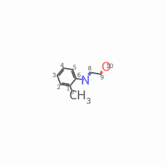 Cc1ccccc1N=CC=O